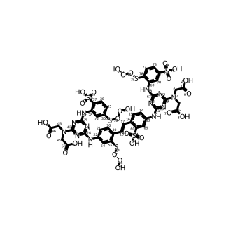 O=C(O)CN(CC(=O)O)c1nc(Nc2ccc(/C=C/c3ccc(Nc4nc(Nc5cc(SOOO)ccc5S(=O)(=O)O)nc(N(CC(=O)O)CC(=O)O)n4)cc3SOOO)c(S(=O)(=O)O)c2)nc(Nc2cc(S(=O)(=O)O)ccc2SOOO)n1